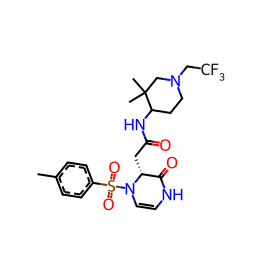 Cc1ccc(S(=O)(=O)N2C=CNC(=O)[C@H]2CC(=O)NC2CCN(CC(F)(F)F)CC2(C)C)cc1